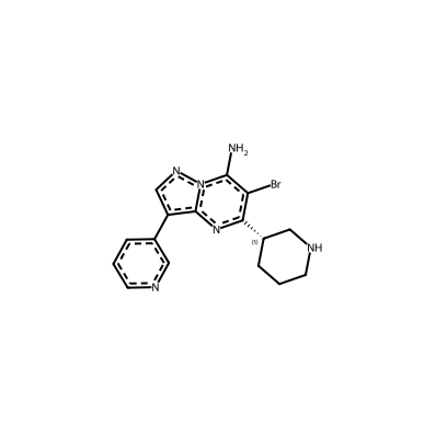 Nc1c(Br)c([C@H]2CCCNC2)nc2c(-c3cccnc3)cnn12